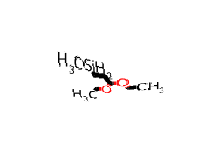 CCOC(CC[SiH2]C)OCC